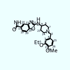 CCOc1cc(CN2CCC(Nc3nc4cc(C(N)=O)ccc4o3)CC2)ccc1OC